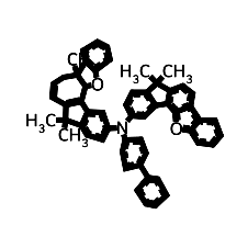 CC1(C)C2=C(c3cc(N(c4ccc(-c5ccccc5)cc4)c4ccc5c(c4)-c4c(ccc6c4oc4ccccc46)C5(C)C)ccc31)C1Oc3ccccc3C1(C)CC=C2